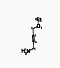 CCOCC#CCN